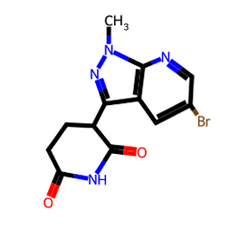 Cn1nc(C2CCC(=O)NC2=O)c2cc(Br)cnc21